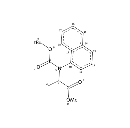 COC(=O)C(C)N(C(=O)OC(C)(C)C)c1cccc2ccccc12